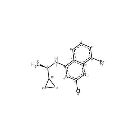 C[C@@H](Nc1nc(Cl)nc2c(Br)cccc12)C1CC1